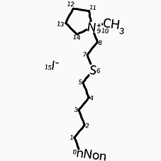 CCCCCCCCCCCCCCSCC[N+]1(C)CCCC1.[I-]